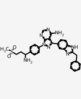 CS(=O)(=O)CCC(N)c1ccc(-n2nc(-c3ccc4[nH]c(Cc5ccccc5)nc4c3)c3c(N)ncnc32)cc1